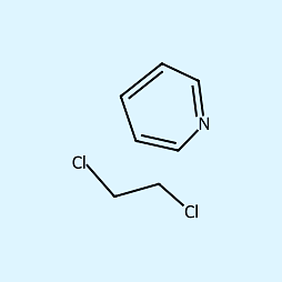 ClCCCl.c1ccncc1